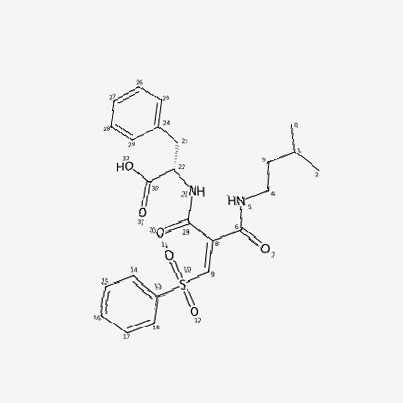 CC(C)CCNC(=O)C(=CS(=O)(=O)c1ccccc1)C(=O)N[C@@H](Cc1ccccc1)C(=O)O